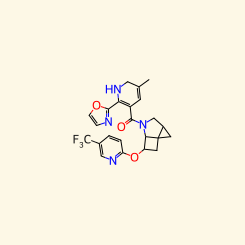 CC1=CC(C(=O)N2CC3CC34CC(Oc3ccc(C(F)(F)F)cn3)C24)=C(c2ncco2)NC1